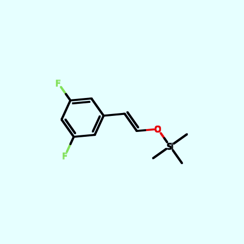 C[Si](C)(C)OC=Cc1cc(F)cc(F)c1